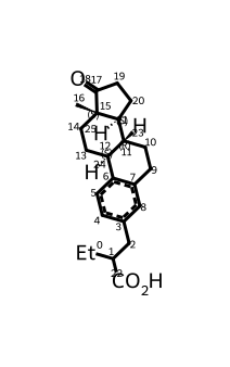 CCC(Cc1ccc2c(c1)CC[C@@H]1[C@@H]2CC[C@]2(C)C(=O)CC[C@@H]12)C(=O)O